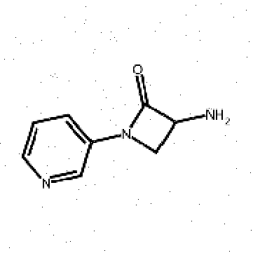 NC1CN(c2cccnc2)C1=O